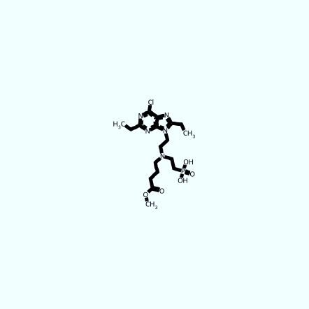 CCc1nc(Cl)c2nc(CC)n(CCN(CCCC(=O)OC)CCP(=O)(O)O)c2n1